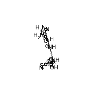 Cc1ncsc1-c1ccc(C(=O)[C@@H]2C[C@@H](O)CN2C(=O)[C@@H](NC(=O)CCCCCCCCNC(=O)CCCC(=O)Nc2cc3cc(-c4cncc(N)c4C)c(F)c(N)c3cn2)C(C)(C)C)cc1